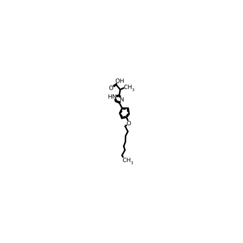 CCCCCCCCOc1ccc(-c2c[nH]c(C(C)C(=O)O)n2)cc1